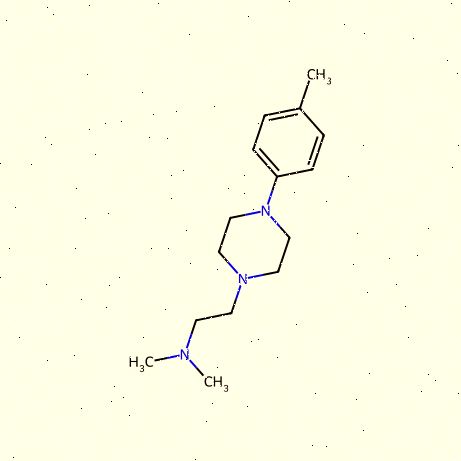 Cc1ccc(N2CCN(CCN(C)C)CC2)cc1